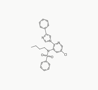 CCCCN(c1cc(Cl)cnc1-n1cnc(-c2ccccc2)c1)S(=O)(=O)c1ccccc1